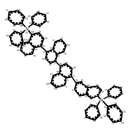 c1ccc([Si](c2ccccc2)(c2ccccc2)c2ccc3cc(-c4ccc(-c5ccc(-c6ccc([Si](c7ccccc7)(c7ccccc7)c7ccccc7)c7ccccc67)c6ccccc56)c5ccccc45)ccc3c2)cc1